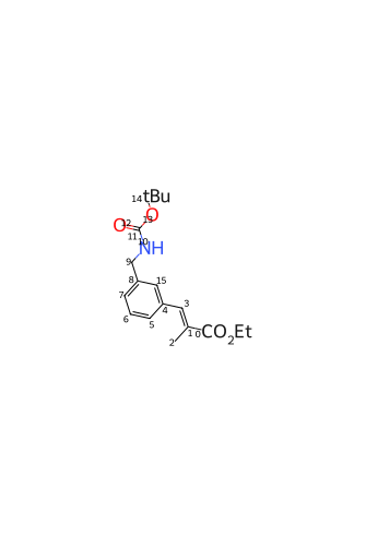 CCOC(=O)/C(C)=C/c1cccc(CNC(=O)OC(C)(C)C)c1